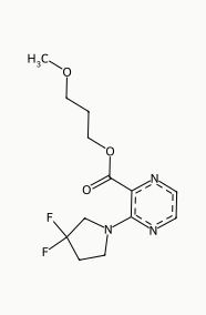 COCCCOC(=O)c1nccnc1N1CCC(F)(F)C1